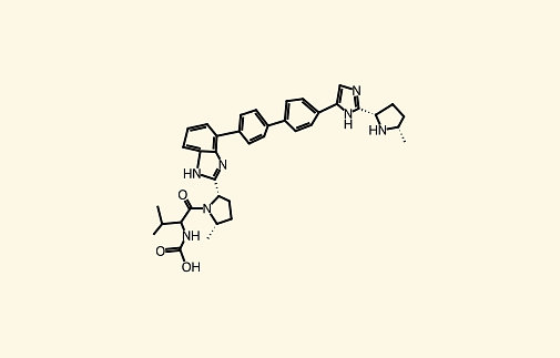 CC(C)C(NC(=O)O)C(=O)N1[C@@H](C)CC[C@H]1c1nc2c(-c3ccc(-c4ccc(-c5cnc([C@@H]6CC[C@H](C)N6)[nH]5)cc4)cc3)cccc2[nH]1